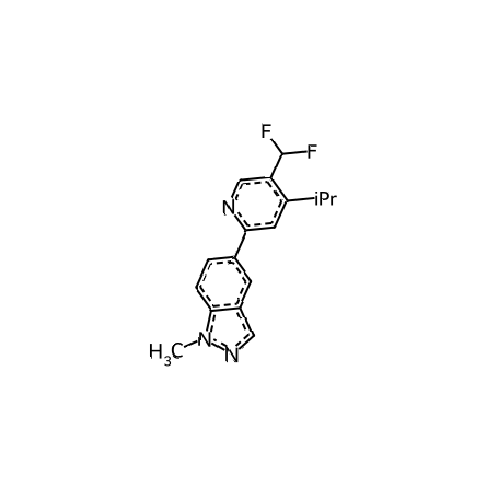 CC(C)c1cc(-c2ccc3c(cnn3C)c2)ncc1C(F)F